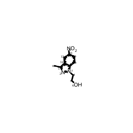 Cc1nn(CCO)c2ccc([N+](=O)[O-])cc12